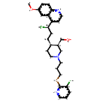 COc1ccc2nccc([C@H](F)CC[C@@H]3CCN(CCCSc4ncccc4F)C[C@@H]3CO)c2c1